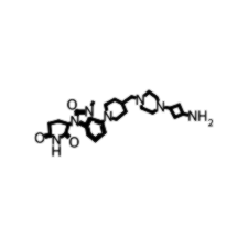 Cn1c(=O)n(C2CCC(=O)NC2=O)c2cccc(N3CCC(CN4CCN(C5CC(N)C5)CC4)CC3)c21